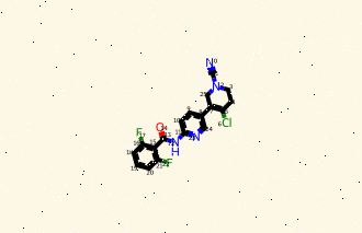 N#CN1CCC(Cl)=C(c2ccc(NC(=O)c3c(F)cccc3F)nc2)C1